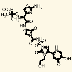 CC(C)(ON=C(C(=O)N[C@H]1CN(C(=O)NS(=O)(=O)n2nc(-c3cc(=O)c(O)c[nH]3)n(CCO)c2=O)C1=O)c1csc(N)n1)C(=O)O